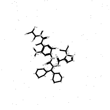 CC(C(=O)N(C)C(F)C(F)F)c1cc(F)c(NC(=O)[C@@H](NC(=O)c2ccnn2C(C)C)C(C2CCCCC2)C2CCCCC2)cc1N(C)C